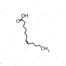 CCCC/C=C\CCCCCC(=O)O